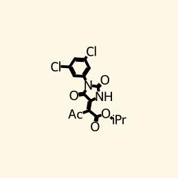 CC(=O)C(C(=O)OC(C)C)=C1NC(=O)N(c2cc(Cl)cc(Cl)c2)C1=O